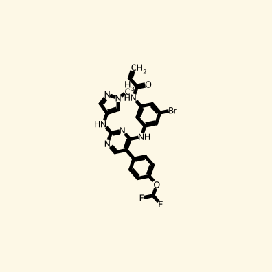 C=CC(=O)Nc1cc(Br)cc(Nc2nc(Nc3cnn(C)c3)ncc2-c2ccc(OC(F)F)cc2)c1